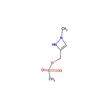 Cn1cc(COS(C)(=O)=O)[nH]1